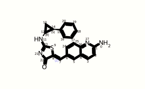 Nc1ccc2cc(/C=C3\SC(N[C@@H]4C[C@H]4c4ccccc4)=NC3=O)ccc2n1